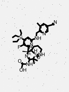 CC[Si](CC)(CC)c1cc(NCc2ncc(C#N)cc2C)nc([C@@]2(C)N=C(NC(=O)O)C(C)(C)[SH]3(=O)NCCC[C@@H]23)c1F